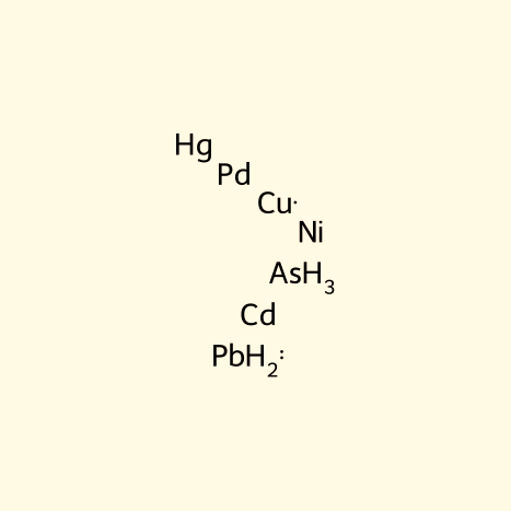 [AsH3].[Cd].[Cu].[Hg].[Ni].[PbH2].[Pd]